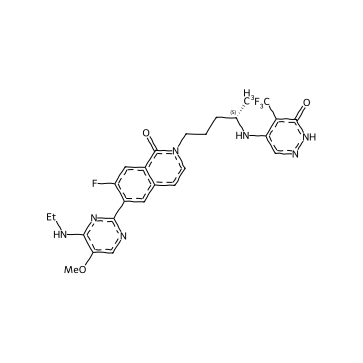 CCNc1nc(-c2cc3ccn(CCC[C@H](C)Nc4cn[nH]c(=O)c4C(F)(F)F)c(=O)c3cc2F)ncc1OC